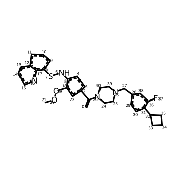 C=C(c1ccc(NSc2cccc3cccnc23)c(OOC)c1)N1CCN(Cc2ccc(C3CCC3)c(F)c2)CC1